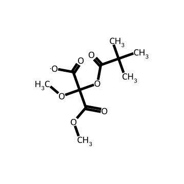 COC(=O)C(OC)(OC(=O)C(C)(C)C)C([O])=O